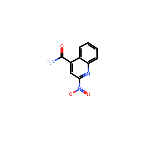 NC(=O)c1cc([N+](=O)[O-])nc2ccccc12